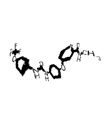 CNC(=O)c1cc(O[C@H]2CC[C@H](NC(=O)Nc3ccc(OC(F)(F)F)cc3)CC2)ccn1